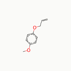 C=CCOc1ccc(OC)cc1